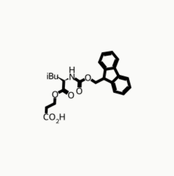 CC[C@H](C)[C@H](NC(=O)OCC1c2ccccc2-c2ccccc21)C(=O)OCCC(=O)O